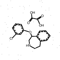 Clc1cccc(OC2CNCCc3ccccc32)c1.O=C(O)C(=O)O